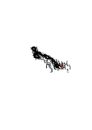 C/C=C\C=C(\NC(=O)CC1CCN(CCN(C2=CC=CCC2)C2CC=CCC2)CC1)C(C)C(C)C